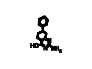 Nc1nc(O)c2c(n1)CC(c1ccccc1)CC2